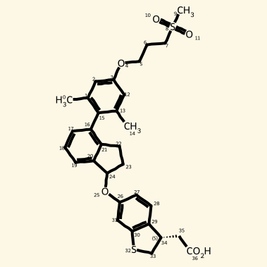 Cc1cc(OCCCS(C)(=O)=O)cc(C)c1-c1cccc2c1CCC2Oc1ccc2c(c1)SC[C@H]2CC(=O)O